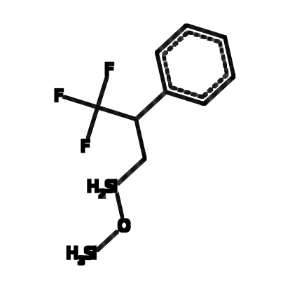 FC(F)(F)C(C[SiH2]O[SiH3])c1ccccc1